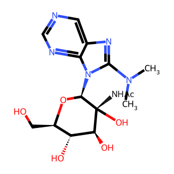 CC(=O)N[C@@]1(O)[C@@H](O)[C@H](O)[C@@H](CO)O[C@H]1n1c(N(C)C)nc2cncnc21